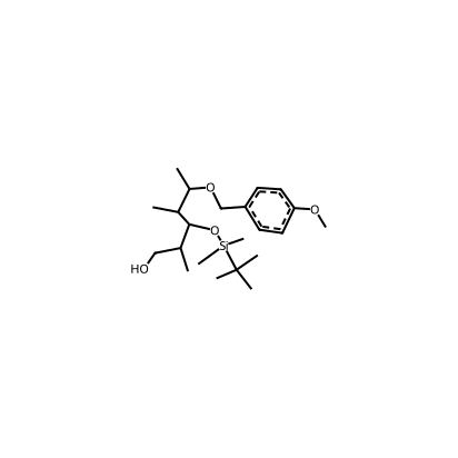 COc1ccc(COC(C)C(C)C(O[Si](C)(C)C(C)(C)C)C(C)CO)cc1